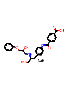 O=C(O)c1ccc(C(=O)Nc2ccc(C[C@@H](CO)NC[C@H](O)COc3ccccc3)cc2)cc1.[NaH]